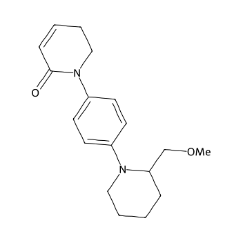 COCC1CCCCN1c1ccc(N2CCC=CC2=O)cc1